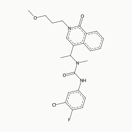 COCCCn1cc(C(C)N(C)C(=O)Nc2ccc(F)c(Cl)c2)c2ccccc2c1=O